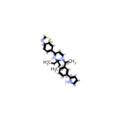 CCC1(CC)N=C(c2ccc3ncsc3c2)C=CN1C(C)c1cccc(-c2ccc[nH]2)c1